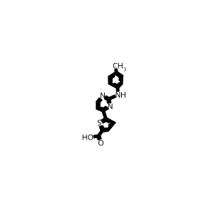 Cc1ccc(Nc2nccc(-c3ccc(C(=O)O)s3)n2)cc1